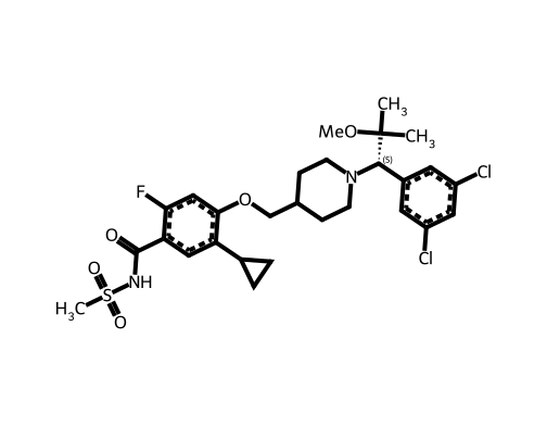 COC(C)(C)[C@H](c1cc(Cl)cc(Cl)c1)N1CCC(COc2cc(F)c(C(=O)NS(C)(=O)=O)cc2C2CC2)CC1